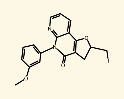 COc1cccc(-n2c(=O)c3c(c4cccnc42)OC(CI)C3)c1